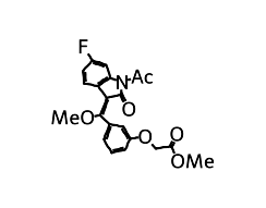 COC(=O)COc1cccc(/C(OC)=C2\C(=O)N(C(C)=O)c3cc(F)ccc32)c1